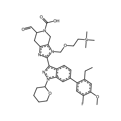 CCc1cc(OC)c(F)cc1-c1ccc2c(-c3nc4c(n3COCC[Si](C)(C)C)CN(C(=O)O)C(C=O)C4)nn(C3CCCCO3)c2c1